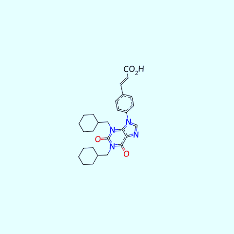 O=C(O)C=Cc1ccc(-n2cnc3c(=O)n(CC4CCCCC4)c(=O)n(CC4CCCCC4)c32)cc1